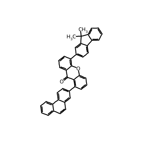 CC1(C)c2ccccc2-c2ccc(-c3cccc4c(=O)c5c(-c6ccc7c(ccc8ccccc87)c6)cccc5oc34)cc21